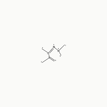 C=C(C)/C(C)=N\N(C)C